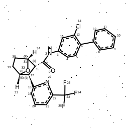 O=C(Nc1ccc(-c2ccccc2)c(Cl)c1)[C@@H]1[C@@H](c2cccc(C(F)(F)F)n2)[C@@H]2CC[C@H]1O2